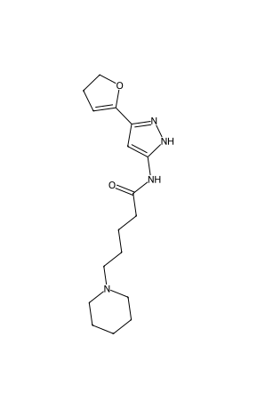 O=C(CCCCN1CCCCC1)Nc1cc(C2=CCCO2)n[nH]1